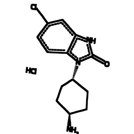 Cl.N[C@H]1CC[C@H](n2c(=O)[nH]c3cc(Cl)ccc32)CC1